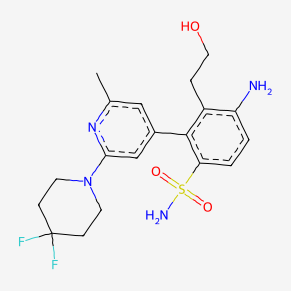 Cc1cc(-c2c(S(N)(=O)=O)ccc(N)c2CCO)cc(N2CCC(F)(F)CC2)n1